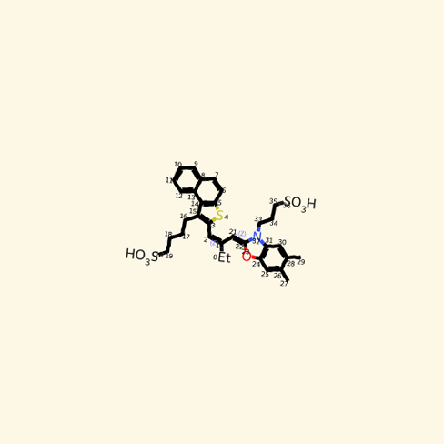 CCC(=C/c1sc2ccc3ccccc3c2c1CCCCS(=O)(=O)O)/C=C1\Oc2cc(C)c(C)cc2N1CCCS(=O)(=O)O